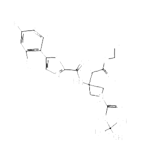 CCOC(=O)CC1(NC(=O)c2ncc(-c3ccc(F)cc3F)s2)CN(C(=O)OC(C)(C)C)C1